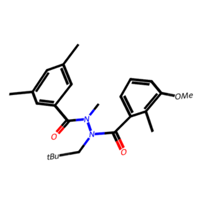 COc1cccc(C(=O)N(CC(C)(C)C)N(C)C(=O)c2cc(C)cc(C)c2)c1C